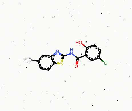 O=C(Nc1nc2cc(C(F)(F)F)ccc2s1)c1cc(Cl)ccc1O